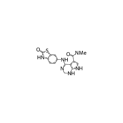 CNC(=O)c1c[nH]c2c1C(Nc1ccc3[nH]c(=O)sc3c1)=NCN2